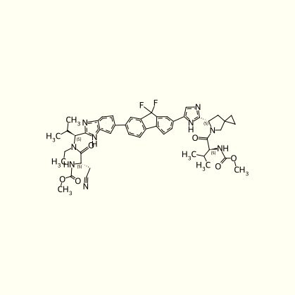 CCN(C(=O)[C@H](CC#N)NC(=O)OC)[C@H](c1nc2ccc(-c3ccc4c(c3)C(F)(F)c3cc(-c5cnc([C@@H]6CC7(CC7)CN6C(=O)[C@@H](NC(=O)OC)C(C)C)[nH]5)ccc3-4)cc2[nH]1)C(C)C